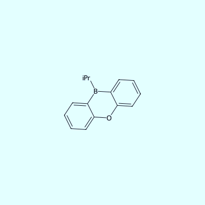 CC(C)B1c2ccccc2Oc2ccccc21